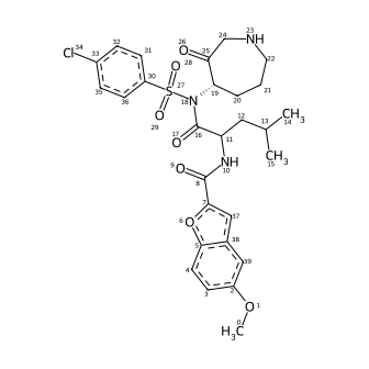 COc1ccc2oc(C(=O)NC(CC(C)C)C(=O)N([C@H]3CCCNCC3=O)S(=O)(=O)c3ccc(Cl)cc3)cc2c1